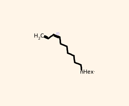 C=C/C=C\CCCCCC[CH]CCCCC